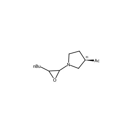 CCCCC1OC1N1CC[C@@H](C(C)=O)C1